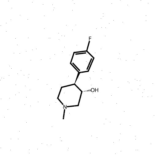 CN1CC[C@@H](c2ccc(F)cc2)[C@H](O)C1